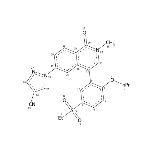 CCCOc1ccc(S(=O)(=O)CC)cc1-c1cn(C)c(=O)c2ccc(-n3cc(C#N)cn3)cc12